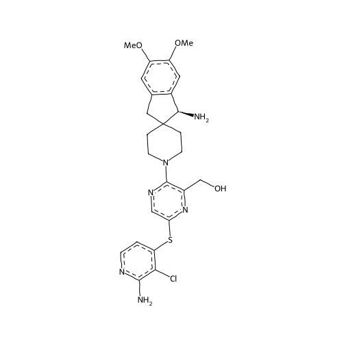 COc1cc2c(cc1OC)[C@@H](N)C1(CCN(c3ncc(Sc4ccnc(N)c4Cl)nc3CO)CC1)C2